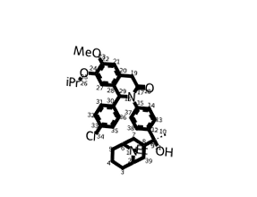 CCN1C2CCCC1CC([C@](C)(O)c1ccc(N3C(=O)Cc4cc(OC)c(OC(C)C)cc4C3c3ccc(Cl)cc3)cc1)C2